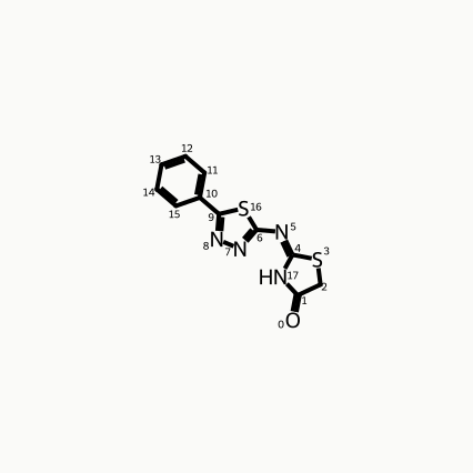 O=C1CSC(=Nc2nnc(-c3ccccc3)s2)N1